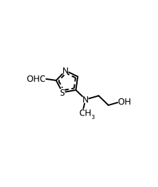 CN(CCO)c1cnc(C=O)s1